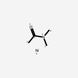 CC(=O)N(C)C.[Ni]